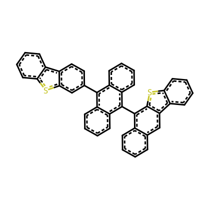 c1ccc2c(-c3c4ccccc4c(-c4ccc5c(c4)sc4ccccc45)c4ccccc34)c3sc4ccccc4c3cc2c1